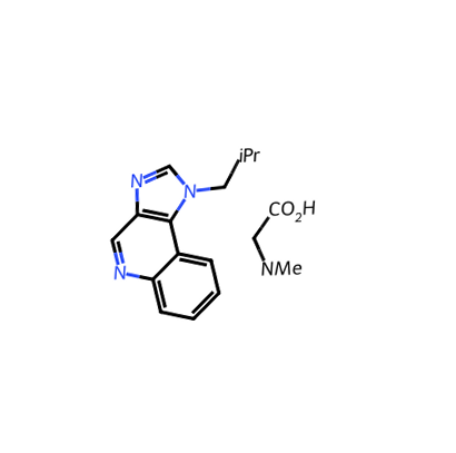 CC(C)Cn1cnc2cnc3ccccc3c21.CNCC(=O)O